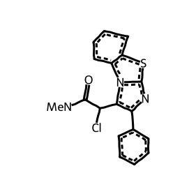 CNC(=O)C(Cl)c1c(-c2ccccc2)nc2sc3ccccc3n12